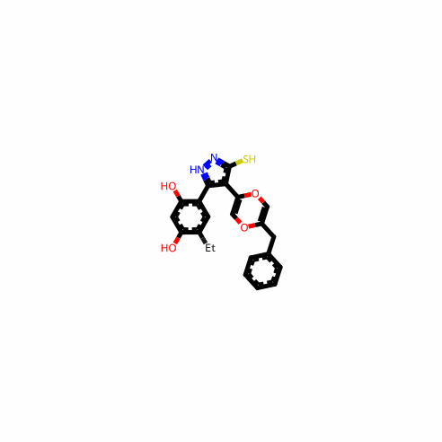 CCc1cc(-c2[nH]nc(S)c2C2=COC(Cc3ccccc3)=CO2)c(O)cc1O